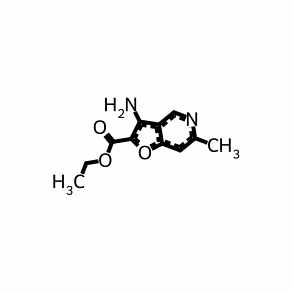 CCOC(=O)c1oc2cc(C)ncc2c1N